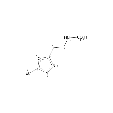 CCc1nnc(CCNC(=O)O)o1